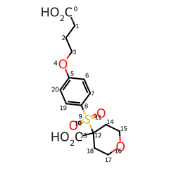 O=C(O)CCCOc1ccc(S(=O)(=O)C2(C(=O)O)CCOCC2)cc1